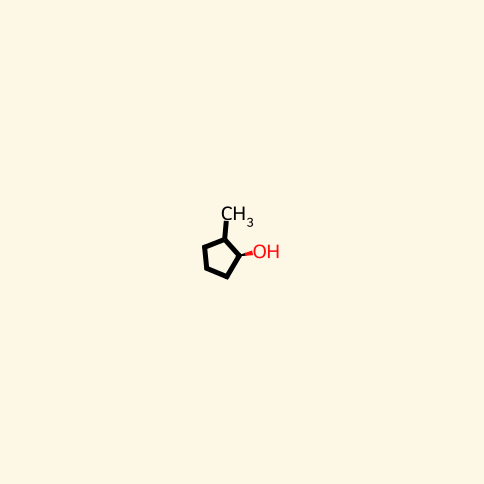 CC1CCC[C@@H]1O